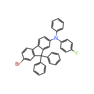 Fc1ccc(N(c2ccccc2)c2ccc3c(c2)C(c2ccccc2)(c2ccccc2)c2cc(Br)ccc2-3)cc1